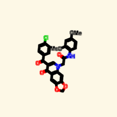 COc1ccc(NC(=O)Cn2cc(C(=O)c3ccc(Cl)cc3)c(=O)c3cc4c(cc32)OCO4)c(OC)c1